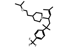 CC(C)=CC(CC(C)(C)c1ccc(C(F)(F)F)cc1)N1CCC(CCOC(C)C)CC1